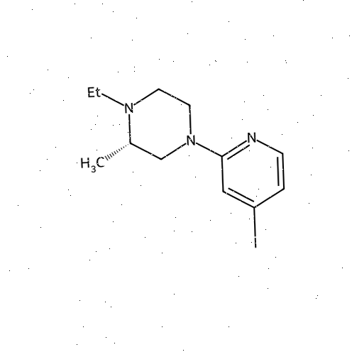 CCN1CCN(c2cc(I)ccn2)C[C@@H]1C